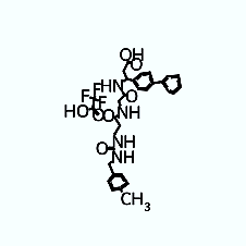 Cc1ccc(CNC(=O)NCCC(=O)NCC(=O)NC(CC(=O)O)c2ccc(-c3ccccc3)cc2)cc1.O=C(O)C(F)(F)F